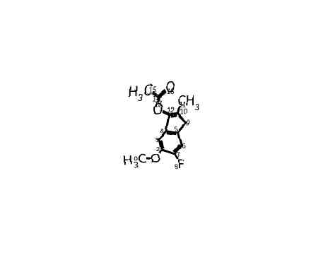 COc1cc2c(cc1F)CC(C)=C2OC(C)=O